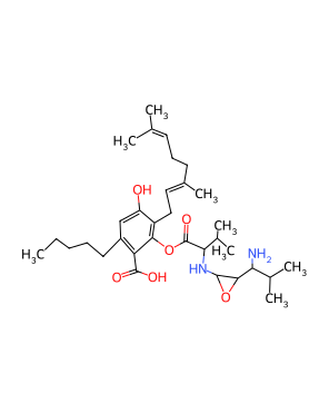 CCCCCc1cc(O)c(C/C=C(\C)CCC=C(C)C)c(OC(=O)C(NC2OC2C(N)C(C)C)C(C)C)c1C(=O)O